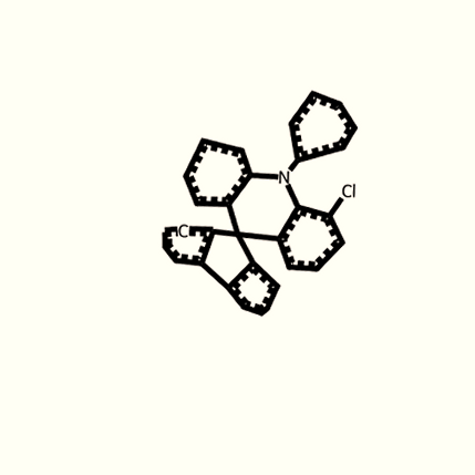 Clc1cccc2c1N(c1ccccc1)c1ccccc1C21c2ccccc2-c2ccccc21